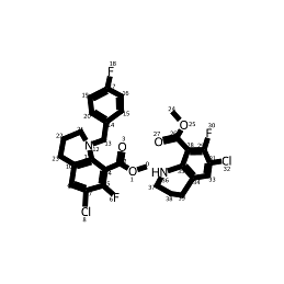 COC(=O)c1c(F)c(Cl)cc2c1N(Cc1ccc(F)cc1)CCC2.COC(=O)c1c(F)c(Cl)cc2c1NCCC2